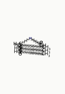 CCCCCCCC/C=C\CCCCCCCC(=O)O.CCCCCCCCCCCCCCCCCC(=O)O.CCCCCCCCCCCCCCCCCC(=O)O.CCCCCCCCCCCCCCCCCC(=O)O